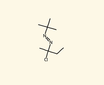 CCC(C)(Cl)N=NC(C)(C)C